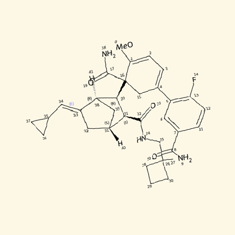 COC1=CC=C(c2cc(C(N)=O)ccc2F)CC1(C(N)=O)[C@H]1[C@@H](C(=O)NCC2(C)CCC2)[C@@H]2C/C(=C\C3CC3)[C@@H]1C2